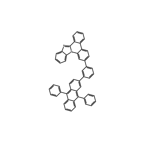 c1ccc(-c2c3ccccc3c(-c3ccccc3)c3cc(-c4cccc(-c5ccc6c7ccccc7c7nc8ccccc8n7c6c5)c4)ccc23)cc1